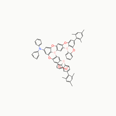 Cc1cc(C)c(-c2cc3c4c(c2)Oc2cc5c(cc2B4c2ccccc2O3)B2c3cc4c(cc3Oc3cc(N(c6ccccc6)c6ccccc6)cc(c32)O5)Oc2cc(-c3c(C)cc(C)cc3C)cc3c2B4c2ccccc2O3)c(C)c1